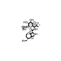 CS[C@H]1O[C@H]([C@H](NC(=O)[C@H]2NC[C@@H]3C[C@H](CC(C)C)CCO[C@H]32)C(C)C(F)(F)F)[C@H](O)[C@H](O)[C@H]1O.O=CO